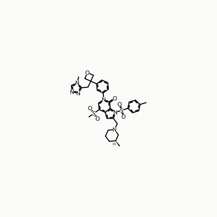 Cc1ccc(S(=O)(=O)n2c(CN3CCC[C@H](C)C3)cc3c(S(C)(=O)=O)cn(-c4cccc(C5(Cc6nncn6C)COC5)c4)c(=O)c32)cc1